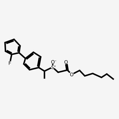 CCCCCCOC(=O)C[S+]([O-])C(C)c1ccc(-c2ccccc2F)cc1